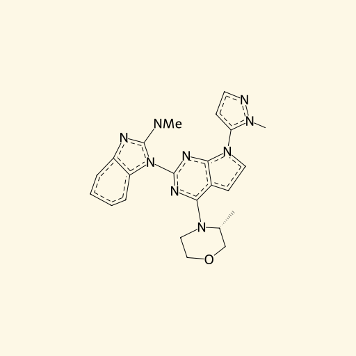 CNc1nc2ccccc2n1-c1nc(N2CCOC[C@H]2C)c2ccn(-c3ccnn3C)c2n1